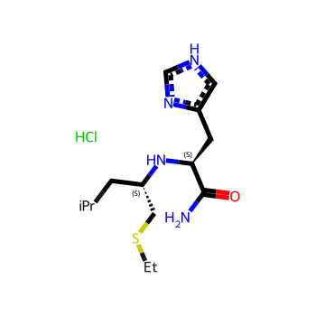 CCSC[C@H](CC(C)C)N[C@@H](Cc1c[nH]cn1)C(N)=O.Cl